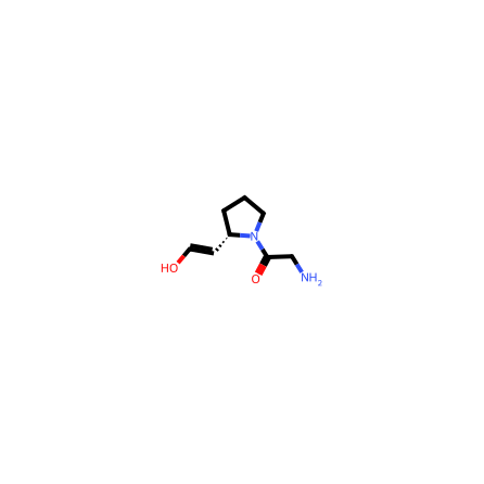 NCC(=O)N1CCC[C@H]1/C=C/O